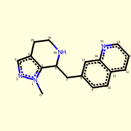 Cn1ncc2c1C(Cc1ccc3cccnc3c1)NCC2